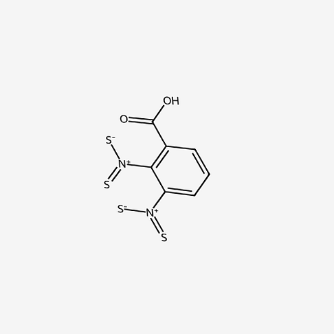 O=C(O)c1cccc([N+](=S)[S-])c1[N+](=S)[S-]